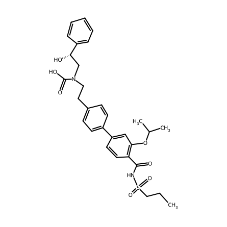 CCCS(=O)(=O)NC(=O)c1ccc(-c2ccc(CCN(C[C@H](O)c3ccccc3)C(=O)O)cc2)cc1OC(C)C